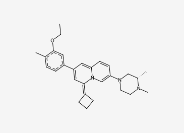 CCOc1cc(C2=CC(=C3CCC3)N3C=C(N4CCN(C)[C@@H](C)C4)C=CC3=C2)ccc1C